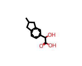 CC1Cc2ccc(C(O)C(=O)O)cc2C1